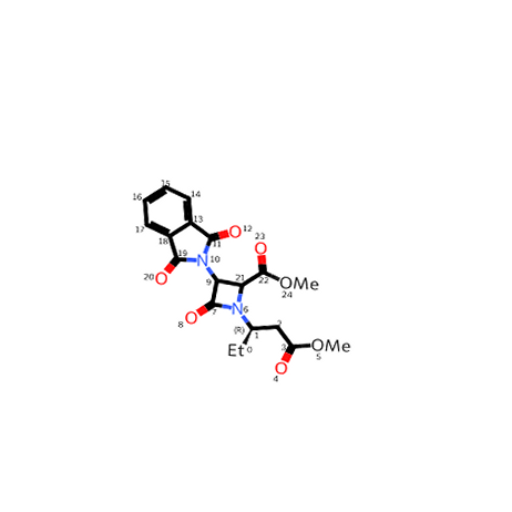 CC[C@H](CC(=O)OC)N1C(=O)C(N2C(=O)c3ccccc3C2=O)C1C(=O)OC